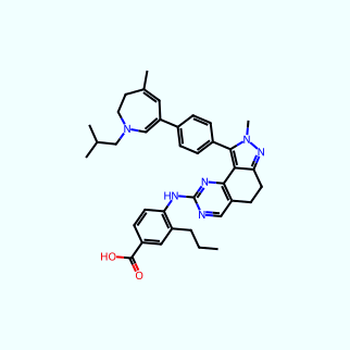 CCCc1cc(C(=O)O)ccc1Nc1ncc2c(n1)-c1c(nn(C)c1-c1ccc(C3=CN(CC(C)C)CCC(C)=C3)cc1)CC2